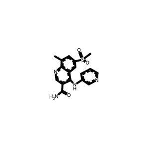 Cc1cc(S(C)(=O)=O)cc2c(Nc3cccnc3)c(C(N)=O)cnc12